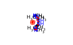 Cc1cc(NCCCNc2ccc(/N=N/c3n(C)nc[n+]3C)c(C)c2)ccc1/N=N/c1n(C)nc[n+]1C.O=S(=O)([O-])[O-]